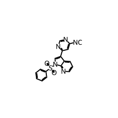 [C-]#[N+]c1cc(-c2cn(S(=O)(=O)c3ccccc3)c3ncccc23)ncn1